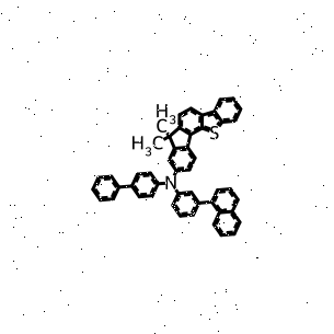 CC1(C)c2cc(N(c3ccc(-c4ccccc4)cc3)c3cccc(-c4cccc5ccccc45)c3)ccc2-c2c1ccc1c2sc2ccccc21